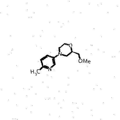 COC[C@H]1CN(c2ccc(C)nc2)CCO1